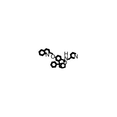 O=C(NCc1cccnc1)c1ccc(OCc2ccc3ccccc3n2)cc1C1(c2ccccc2)CC2CCC1C2